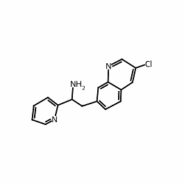 NC(Cc1ccc2cc(Cl)cnc2c1)c1ccccn1